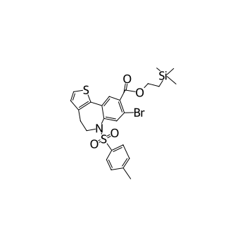 Cc1ccc(S(=O)(=O)N2CCc3ccsc3-c3cc(C(=O)OCC[Si](C)(C)C)c(Br)cc32)cc1